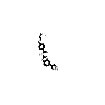 NCCOc1ccc(C(=O)Nc2nc3ccc(-c4cn[nH]c4)cc3s2)cc1